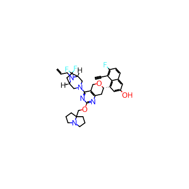 C#Cc1c(F)ccc2cc(O)cc([C@@H]3Cc4nc(OCC56CCCN5CCC6)nc(N5C[C@@H]6CC(F)(F)[C@H](C5)N6CC=C)c4CO3)c12